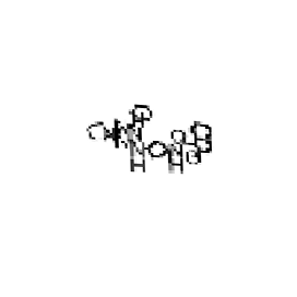 O=C(Nc1ccc(Nc2nc(N3CCCCC3)nc(N3CCCCC3)n2)cc1)c1c(O)ccc2ccccc12